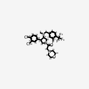 CN(Cc1ccc(C(F)(F)F)c(F)c1)C1CN(C(=O)CN2CCOCC2)CC1c1ccc(Cl)c(Cl)c1